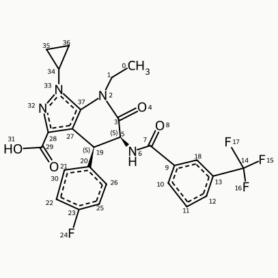 CCN1C(=O)[C@@H](NC(=O)c2cccc(C(F)(F)F)c2)[C@@H](c2ccc(F)cc2)c2c(C(=O)O)nn(C3CC3)c21